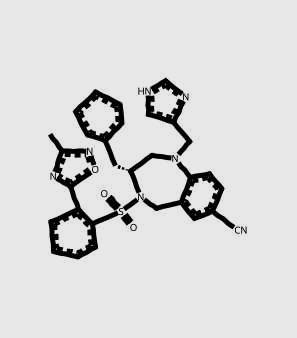 Cc1noc(-c2ccccc2S(=O)(=O)N2Cc3cc(C#N)ccc3N(Cc3c[nH]cn3)C[C@H]2Cc2ccccc2)n1